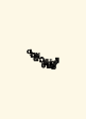 CN1CC(CS(=O)(=O)c2ccc(C(=O)NC3CCC(c4nc5cc(Cl)ccc5o4)CC3)o2)C1